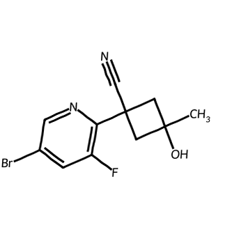 CC1(O)CC(C#N)(c2ncc(Br)cc2F)C1